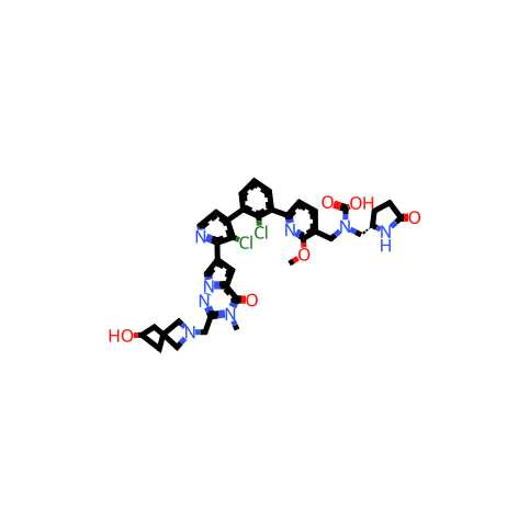 COc1nc(-c2cccc(-c3ccnc(-c4cc5c(=O)n(C)c(CN6CC7(CC(O)C7)C6)nn5c4)c3Cl)c2Cl)ccc1CN(C[C@@H]1CCC(=O)N1)C(=O)O